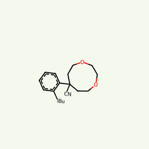 CCC(C)c1ccccc1C1(C#N)CCOCCOCC1